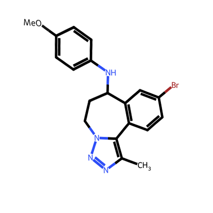 COc1ccc(NC2CCn3nnc(C)c3-c3ccc(Br)cc32)cc1